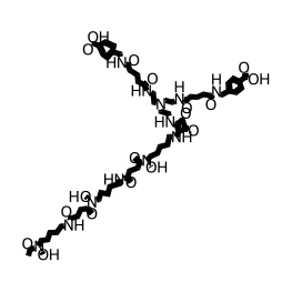 CC(=O)N(O)CCCCCNC(=O)CCC(=O)N(O)CCCCCNC(=O)CCC(=O)N(O)CCCCCNc1c(NCCN(CCNC(=O)CCCC(=O)NCc2ccc(C(=O)O)cc2)CCNC(=O)CCCC(=O)NCc2ccc(C(=O)O)cc2)c(=O)c1=O